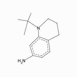 CC(C)(C)N1CCCc2ccc(N)cc21